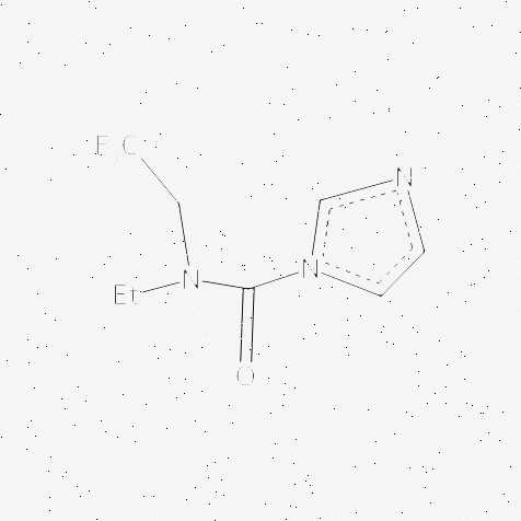 CCN(CC(F)(F)F)C(=O)n1ccnc1